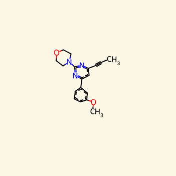 CC#Cc1cc(-c2cccc(OC)c2)nc(N2CCOCC2)n1